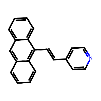 C(=Cc1c2ccccc2cc2ccccc12)c1ccncc1